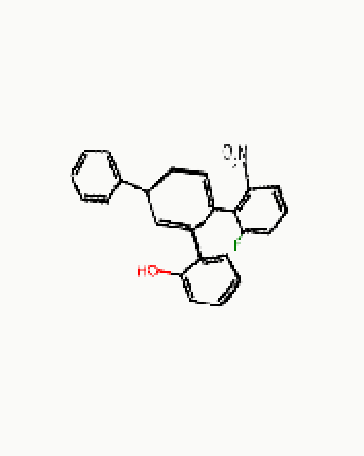 O=[N+]([O-])c1cccc(F)c1C1=CCC(c2ccccc2)C=C1c1ccccc1O